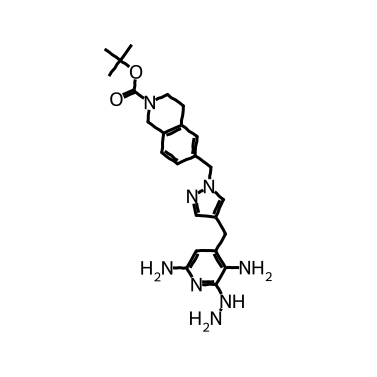 CC(C)(C)OC(=O)N1CCc2cc(Cn3cc(Cc4cc(N)nc(NN)c4N)cn3)ccc2C1